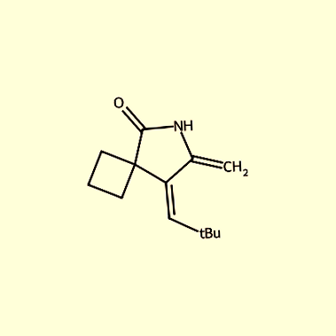 C=C1NC(=O)C2(CCC2)/C1=C/C(C)(C)C